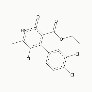 CCOC(=O)c1c(-c2ccc(Cl)c(Cl)c2)c(Cl)c(C)[nH]c1=O